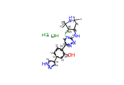 CC1(C)C[C@@H](Nc2ncc(-c3ccc(-c4cn[nH]c4)cc3O)nn2)[C@@H](F)C(C)(C)N1.Cl.Cl